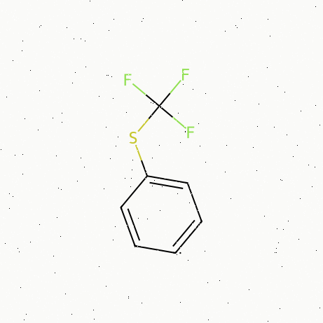 FC(F)(F)Sc1cc[c]cc1